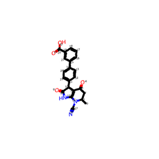 CC1CC(=O)C2=C(NC(=O)C2c2ccc(-c3cccc(C(=O)O)c3)cc2)N1C#N